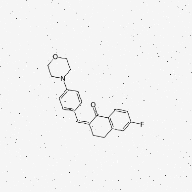 O=C1C(=Cc2ccc(N3CCOCC3)cc2)CCc2cc(F)ccc21